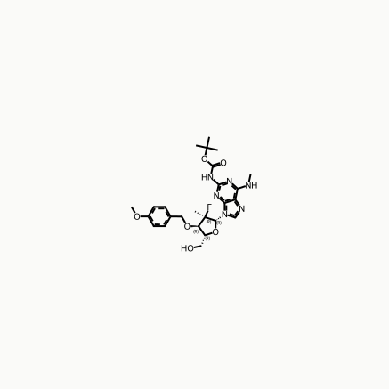 CNc1nc(NC(=O)OC(C)(C)C)nc2c1ncn2[C@@H]1O[C@H](CO)[C@@H](OCc2ccc(OC)cc2)[C@@]1(C)F